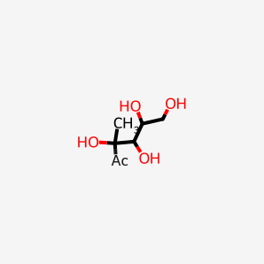 CC(=O)C(C)(O)C(O)C(O)CO